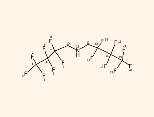 FC(F)(F)C(F)(F)C(F)(F)CNCC(F)(F)C(F)(F)C(F)(F)F